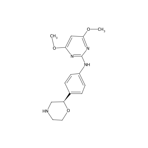 COc1cc(OC)nc(Nc2ccc([C@@H]3CNCCO3)cc2)n1